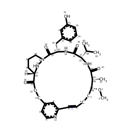 CO[C@@H]1CC/C=C/c2cc(ccn2)COC(=O)[C@@H]2CCCN(N2)C(=O)[C@H](Cc2cccc(O)c2)NC(=O)[C@H](C(C)C)NC(=O)[C@@H]1C